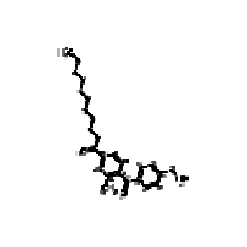 CCCCCCCCCCC(=O)c1ccc(C(=O)c2ccc(CO)cc2)c(C)c1